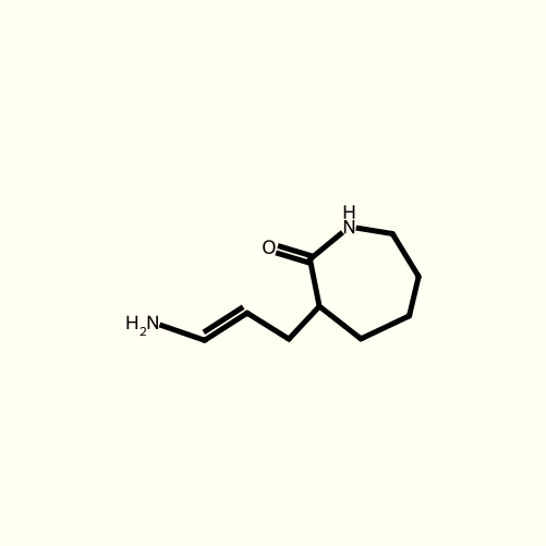 NC=CCC1CCCCNC1=O